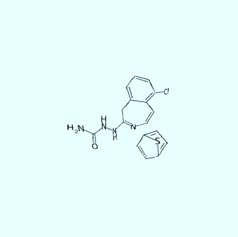 NC(=O)NNC1=NC=Cc2c(Cl)cccc2C1.c1cc2ccc1s2